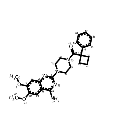 COc1cc2nc(N3CCN(C(=O)C4(c5ccccc5)CCC4)CC3)nc(N)c2cc1OC